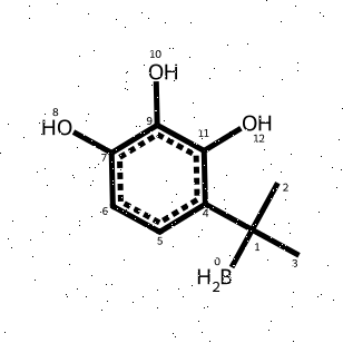 BC(C)(C)c1ccc(O)c(O)c1O